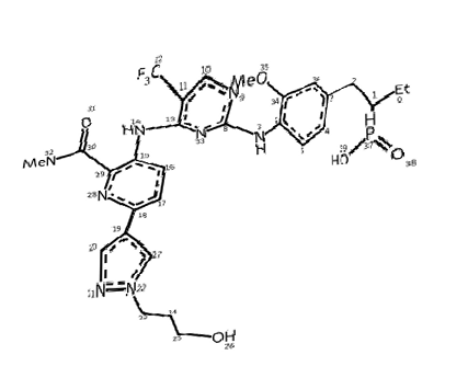 CCC(Cc1ccc(Nc2ncc(C(F)(F)F)c(Nc3ccc(-c4cnn(CCCO)c4)nc3C(=O)NC)n2)c(OC)c1)[PH](=O)O